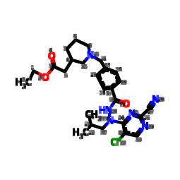 CCOC(=O)CC1CCCN(Cc2ccc(C(=O)NN(CC(C)C)c3nc(C#N)ncc3Cl)cc2)C1